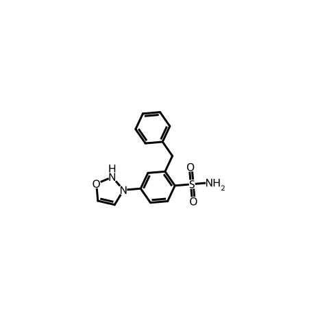 NS(=O)(=O)c1ccc(N2C=CON2)cc1Cc1ccccc1